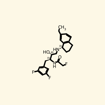 CCc1ccc2c(c1)[C@@H](NC[C@@H](O)[C@H](Cc1cc(F)cc(F)c1)NC(=O)CF)CCC2